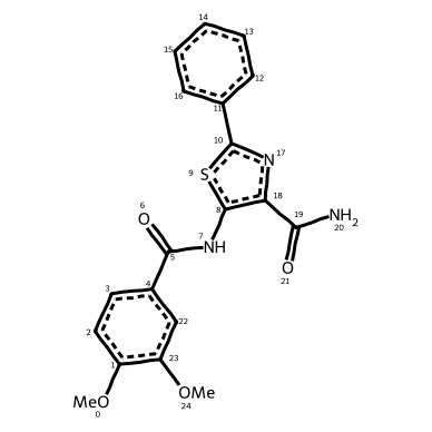 COc1ccc(C(=O)Nc2sc(-c3ccccc3)nc2C(N)=O)cc1OC